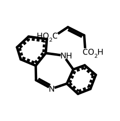 C1=Nc2ccccc2Nc2ccccc21.O=C(O)/C=C\C(=O)O